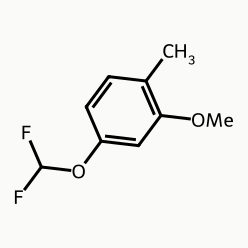 COc1cc(OC(F)F)ccc1C